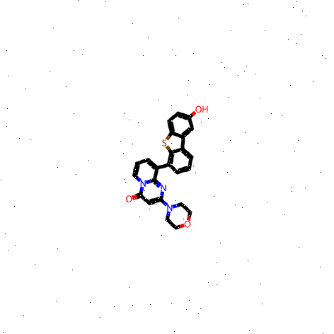 O=c1cc(N2CCOCC2)nc2c(-c3cccc4c3sc3ccc(O)cc34)cccn12